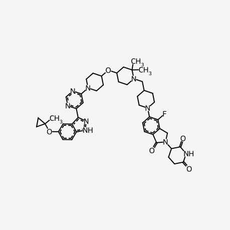 CC1(Oc2ccc3[nH]nc(-c4cc(N5CCC(OC6CCN(CC7CCN(c8ccc9c(c8F)CN(C8CCC(=O)NC8=O)C9=O)CC7)C(C)(C)C6)CC5)ncn4)c3c2)CC1